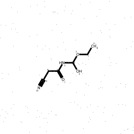 CCOC(O)NC(=O)CC#N